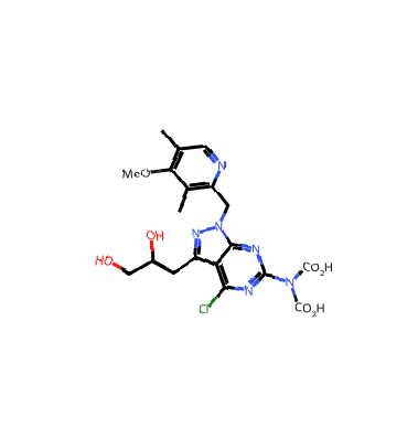 COc1c(C)cnc(Cn2nc(CC(O)CO)c3c(Cl)nc(N(C(=O)O)C(=O)O)nc32)c1C